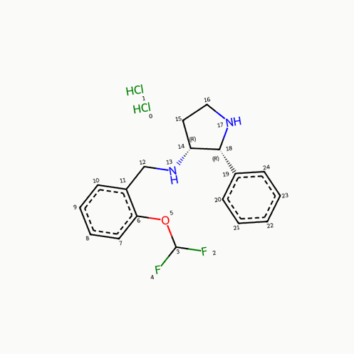 Cl.Cl.FC(F)Oc1ccccc1CN[C@@H]1CCN[C@@H]1c1ccccc1